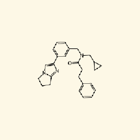 O=C(CCc1ccccc1)N(Cc1cccc(-c2cn3c(n2)CCC3)c1)CC1CC1